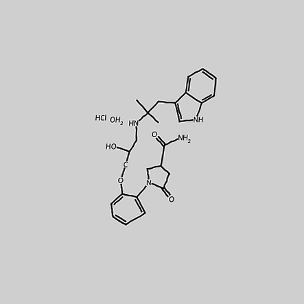 CC(C)(Cc1c[nH]c2ccccc12)NCC(O)COc1ccccc1N1CC(C(N)=O)CC1=O.Cl.O